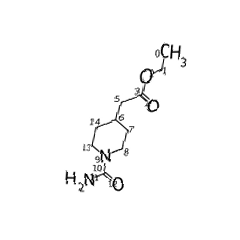 CCOC(=O)CC1CCN(C(N)=O)CC1